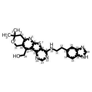 CC1(C)Cc2nc3sc4c(NCCc5ccc6[nH]cnc6c5)ncnc4c3c(CO)c2CO1